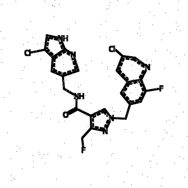 O=C(NCc1cnc2[nH]cc(Cl)c2c1)c1cn(Cc2cc(F)c3ncc(Cl)cc3c2)nc1CF